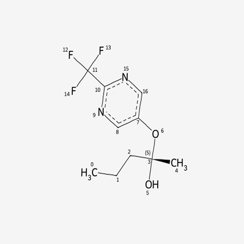 CCC[C@@](C)(O)Oc1cnc(C(F)(F)F)nc1